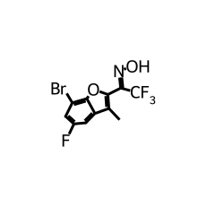 Cc1c(/C(=N/O)C(F)(F)F)oc2c(Br)cc(F)cc12